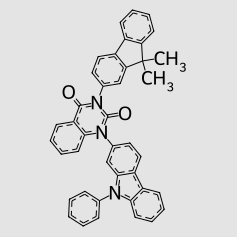 CC1(C)c2ccccc2-c2ccc(-n3c(=O)c4ccccc4n(-c4ccc5c6ccccc6n(-c6ccccc6)c5c4)c3=O)cc21